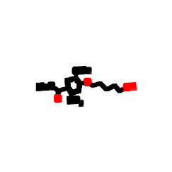 COC(=O)c1cc(OC)c(OCCCCCO)cc1[N+](=O)[O-]